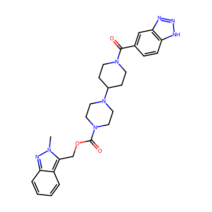 Cn1nc2ccccc2c1COC(=O)N1CCN(C2CCN(C(=O)c3ccc4[nH]nnc4c3)CC2)CC1